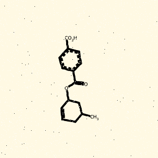 CC1CC=CC(OC(=O)c2ccc(C(=O)O)cc2)C1